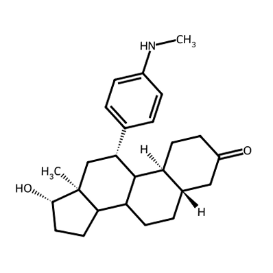 CNc1ccc([C@H]2C[C@@]3(C)C(CC[C@@H]3O)C3CC[C@H]4CC(=O)CC[C@@H]4C32)cc1